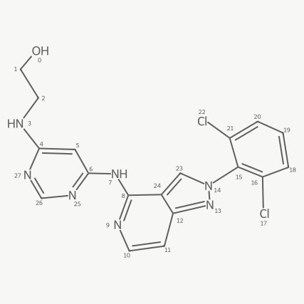 OCCNc1cc(Nc2nccc3nn(-c4c(Cl)cccc4Cl)cc23)ncn1